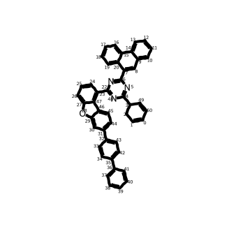 C1=CCC(c2nc(-c3cc4ccccc4c4ccccc34)nc(-c3cccc4oc5cc(-c6ccc(-c7ccccc7)cc6)ccc5c34)n2)C=C1